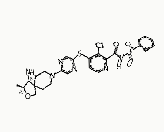 C[C@@H]1OCC2(CCN(c3cnc(Sc4ccnc(C(=O)NS(=O)(=O)c5ccccc5)c4Cl)cn3)CC2)[C@@H]1N